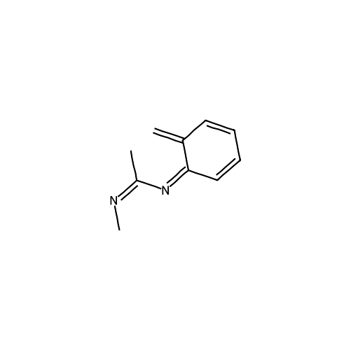 C=C1C=CC=C/C1=N/C(C)=N\C